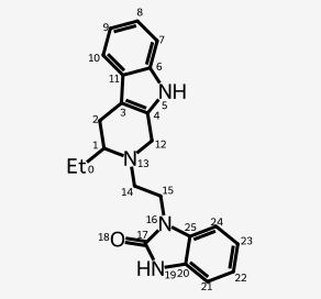 CCC1Cc2c([nH]c3ccccc23)CN1CCn1c(=O)[nH]c2ccccc21